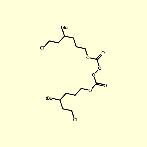 CC(C)(C)C(CCCl)CCCOC(=O)OOC(=O)OCCCC(CCCl)C(C)(C)C